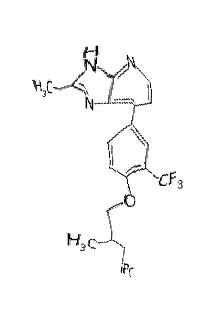 Cc1nc2c(-c3ccc(OCC(C)CC(C)C)c(C(F)(F)F)c3)ccnc2[nH]1